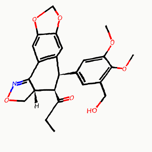 CCC(=O)[C@@H]1[C@H](c2cc(CO)c(OC)c(OC)c2)c2cc3c(cc2C2=NOC[C@H]21)OCO3